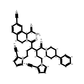 N#Cc1ccc2c(c1)C(C(N)=O)N(C(=O)C(CCn1cccc1C#N)[C](CCn1cccc1C#N)C(=O)N1CCC(c3ccccc3)CC1)CC2